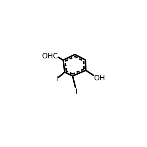 O=Cc1ccc(O)c(I)c1I